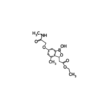 CCOC(=O)CC1OB(O)c2cc(OCC(=O)NC)cc(C)c21